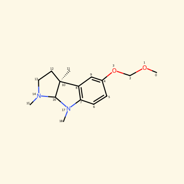 COCOc1ccc2c(c1)[C@]1(C)CCN(C)C1N2C